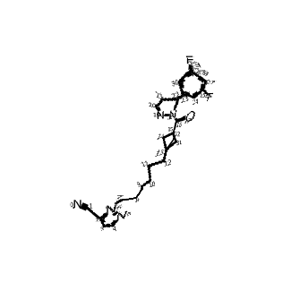 N#Cc1ccnn1CCCCCCC12CC(C(=O)N3N=CCC3c3cc(F)cc(F)c3)(C1)C2